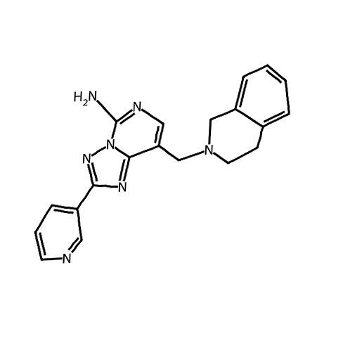 Nc1ncc(CN2CCc3ccccc3C2)c2nc(-c3cccnc3)nn12